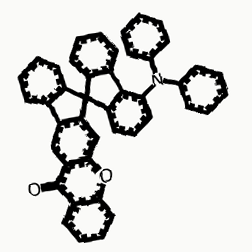 O=c1c2ccccc2oc2cc3c(cc12)-c1ccccc1C31c2ccccc2-c2c(N(c3ccccc3)c3ccccc3)cccc21